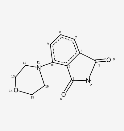 O=C1[N]C(=O)c2c1cccc2N1CCOCC1